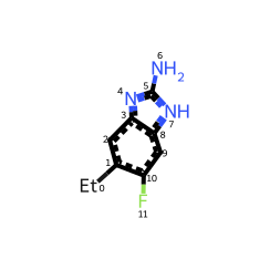 CCc1cc2nc(N)[nH]c2cc1F